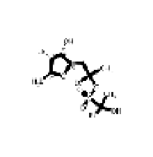 B[C@@H]1O[C@H](CC(C)(CC)OP(=O)(O)C(C)(O)CC)[C@@H](O)[C@H]1Cl